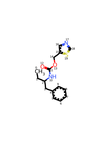 CCC(Cc1ccccc1)NC(=O)OCc1cncs1